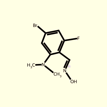 CN(C)c1cc(Br)cc(F)c1/C=N/O